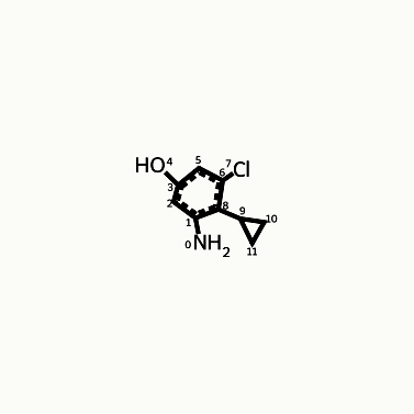 Nc1cc(O)cc(Cl)c1C1CC1